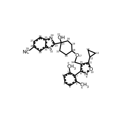 Cc1cccc(C)c1-c1noc(C2CC2)c1COC1CCC(O)(c2nc3ccc(C#N)cc3s2)CC1